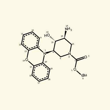 CC(C)(C)OC(=O)N1C[C@@H](N2c3ccccc3Oc3ccccc32)[C@H](O)[C@@H](N)C1